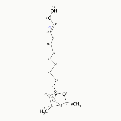 CC1O[Si]2(CCCCCCCC/C=C/OO)OC(C)C1O2